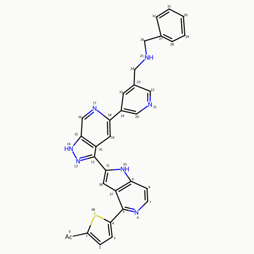 CC(=O)c1ccc(-c2nccc3[nH]c(-c4n[nH]c5cnc(-c6cncc(CNCc7ccccc7)c6)cc45)cc23)s1